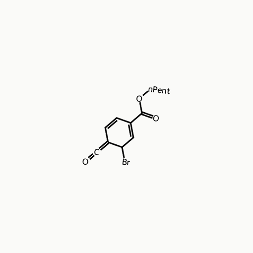 CCCCCOC(=O)C1=CC(Br)C(=C=O)C=C1